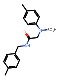 Cc1ccc(CNC(=O)CN(c2ccc(C)cc2)S(=O)(=O)O)cc1